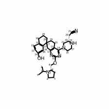 CC(C)N1CCC[C@H]1COc1nc2c(c(N3CCN[C@@H](CC#N)C3)n1)CCC1(CCCc3ccc(O)cc31)C2